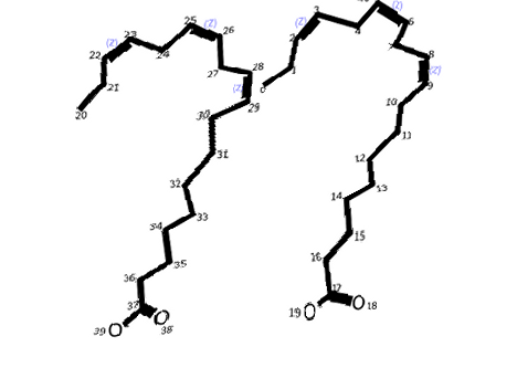 CC/C=C\C/C=C\C/C=C\CCCCCCCC(=O)[O-].CC/C=C\C/C=C\C/C=C\CCCCCCCC(=O)[O-].[Co+2]